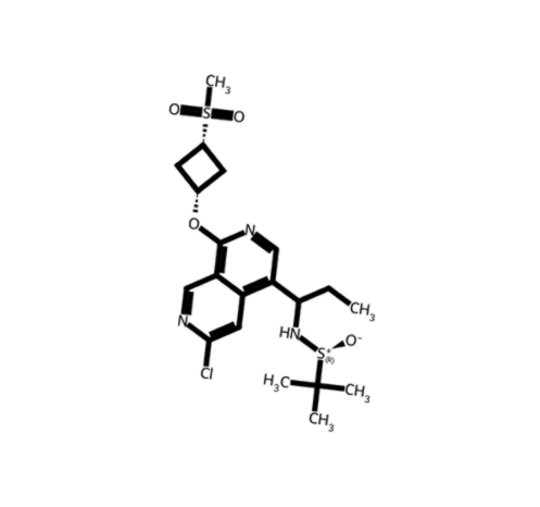 CCC(N[S@@+]([O-])C(C)(C)C)c1cnc(O[C@H]2C[C@@H](S(C)(=O)=O)C2)c2cnc(Cl)cc12